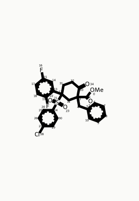 COC(=O)C1(Cc2ccccc2)CC(c2cc(F)ccc2F)(S(=O)(=O)c2ccc(Cl)cc2)CCC1=O